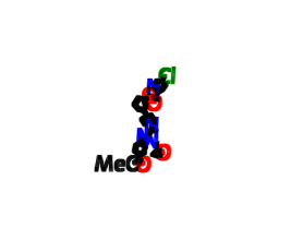 COC(=O)c1ccc2nc(C(C)N3CCC(c4cccc5c4OC(C)(c4ccc(Cl)cn4)O5)CC3)n(C[C@@H]3CCO3)c2c1